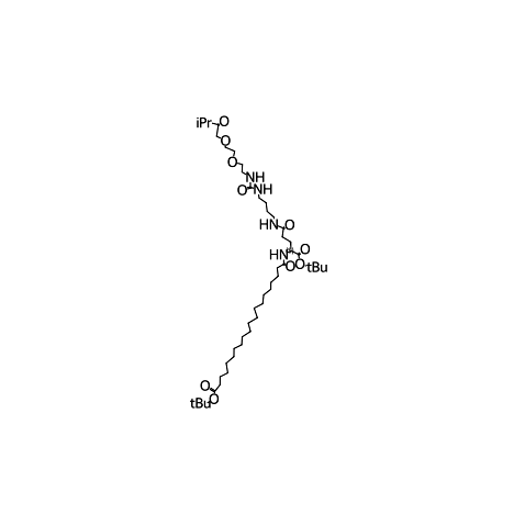 CC(C)C(=O)COCCOCCNC(=O)NCCCCNC(=O)CC[C@H](NC(=O)CCCCCCCCCCCCCCCCCCC(=O)OC(C)(C)C)C(=O)OC(C)(C)C